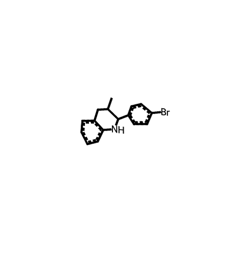 CC1Cc2ccccc2NC1c1ccc(Br)cc1